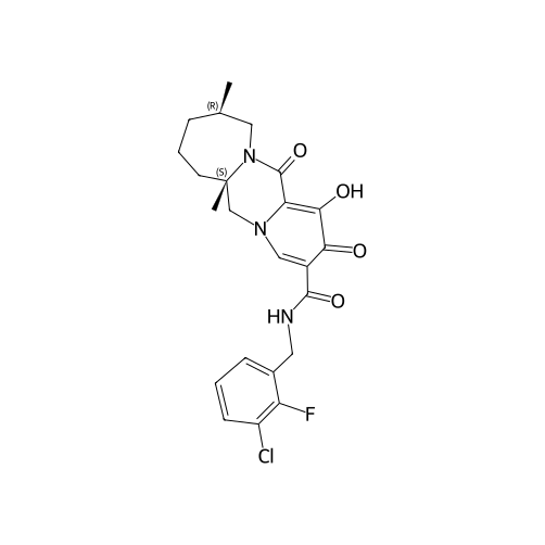 C[C@@H]1CCC[C@@]2(C)Cn3cc(C(=O)NCc4cccc(Cl)c4F)c(=O)c(O)c3C(=O)N2C1